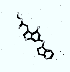 CCOC(=O)Cc1csc2cc(OC3CCc4ncccc43)cc(Cl)c12